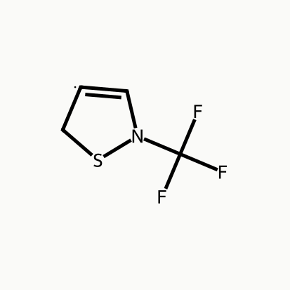 FC(F)(F)N1C=[C]CS1